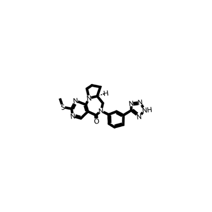 CSc1ncc2c(n1)N1CCC[C@H]1CN(c1cccc(-c3nn[nH]n3)c1)C2=O